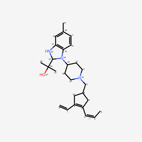 C=CC1=C(/C=C\C)CC(CN2CCC(N3c4ccc(C)cc4NC3C(C)(C)O)CC2)C1